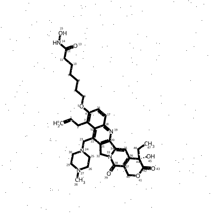 C=CCc1c(OCCCCCCC(=O)NO)ccc2nc3c(c(CN4CCN(C)CC4)c12)Cn1c-3cc2c(c1=O)COC(=O)[C@]2(O)CC